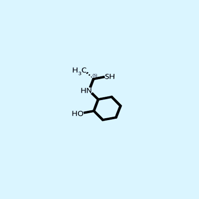 C[C@H](S)NC1CCCCC1O